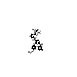 COc1ccc(Oc2nc(Nc3cccc(F)c3)ncc2NC[C@@H]2CCCN2C(=O)OC(C)(C)C)cc1